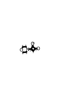 O=c1cc(N2CCOCC2)c1=O